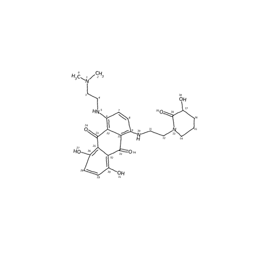 CN(C)CCNc1ccc(NCCN2CCCC(O)C2=O)c2c1C(=O)c1c(O)ccc(O)c1C2=O